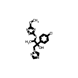 COc1nsc(SC(C)C(O)(Cn2cncn2)c2ccc(Cl)cc2)n1